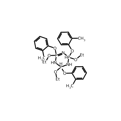 CCOP1(Oc2ccccc2C)=N[PH](OCC)(Oc2ccccc2C)N[PH](OCC)(Oc2ccccc2C)N1